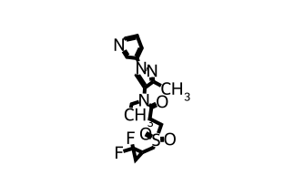 CCN(C(=O)CCS(=O)(=O)CC1CC1(F)F)c1cn(-c2cccnc2)nc1C